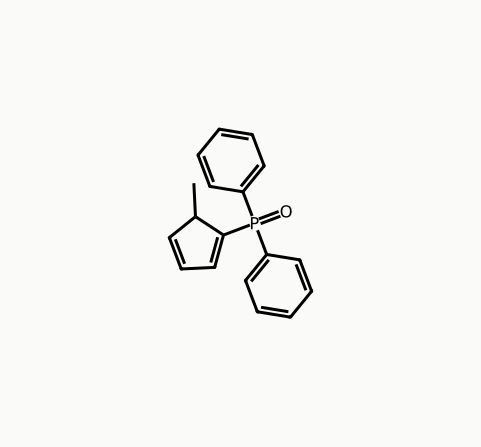 CC1C=CC=C1P(=O)(c1ccccc1)c1ccccc1